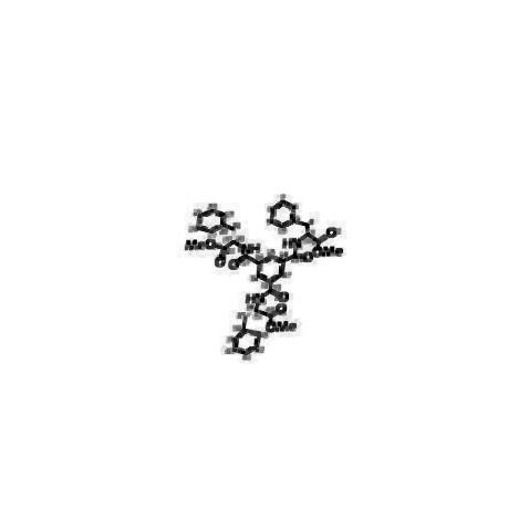 COC(=O)[C@H](Cc1ccccc1)NC(=O)c1cc(C(=O)N[C@@H](Cc2ccccc2)C(=O)OC)cc(C(=O)N[C@@H](Cc2ccccc2)C(=O)OC)c1